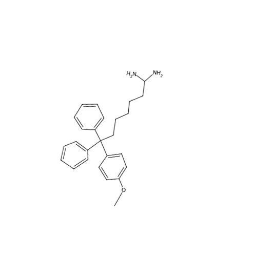 COc1ccc(C(CCCCCC(N)N)(c2ccccc2)c2ccccc2)cc1